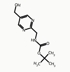 CC(C)(C)OC(=O)NCc1ncc(CO)cn1